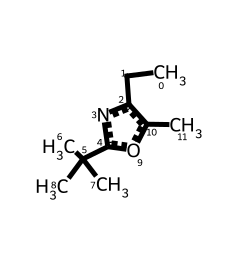 CCc1nc(C(C)(C)C)oc1C